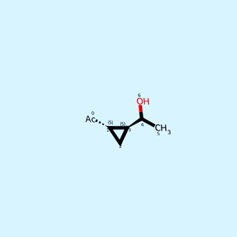 CC(=O)[C@H]1C[C@@H]1C(C)O